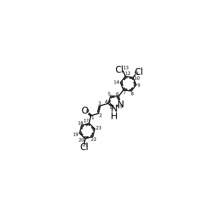 O=C(/C=C/c1cc(-c2ccc(Cl)c(Cl)c2)n[nH]1)c1ccc(Cl)cc1